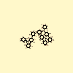 c1ccc(N(c2ccc(-c3cccc(-c4ccc5c6ccccc6n(-c6ccccc6)c5c4)c3)cc2)c2ccc3c(c2)C2(c4ccccc4-c4ccccc42)c2ccccc2-3)cc1